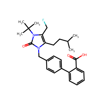 CC(C)CCc1c(CF)n(C(C)(C)C)c(=O)n1Cc1ccc(-c2ccccc2C(=O)O)cc1